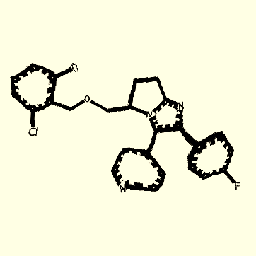 Fc1ccc(-c2nc3n(c2-c2ccncc2)C(COCc2c(Cl)cccc2Cl)CC3)cc1